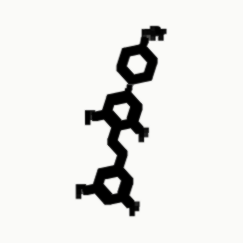 CCC[C@H]1CC[C@H](c2cc(F)c(CCc3cc(F)cc(F)c3)c(F)c2)CC1